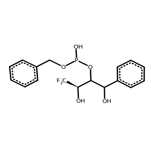 OC(c1ccccc1)C(OP(O)OCc1ccccc1)[C@@H](O)C(F)(F)F